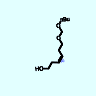 CCCCOCOCC/C=C\CCO